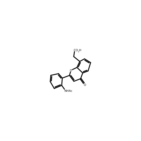 CC(=O)Nc1ccccc1-c1cc(=O)c2cccc(CC(=O)O)c2o1